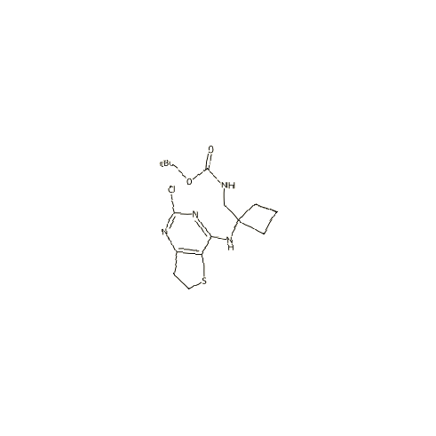 CC(C)(C)OC(=O)NCC1(Nc2nc(Cl)nc3c2SCC3)CCC1